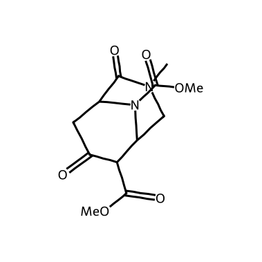 COC(=O)C1C(=O)CC2C(=O)N(C)CC1N2C(=O)OC